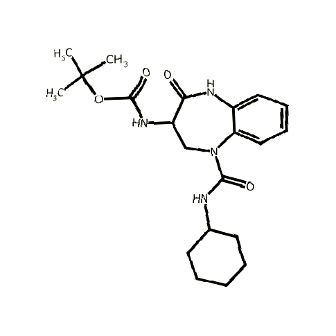 CC(C)(C)OC(=O)NC1CN(C(=O)NC2CCCCC2)c2ccccc2NC1=O